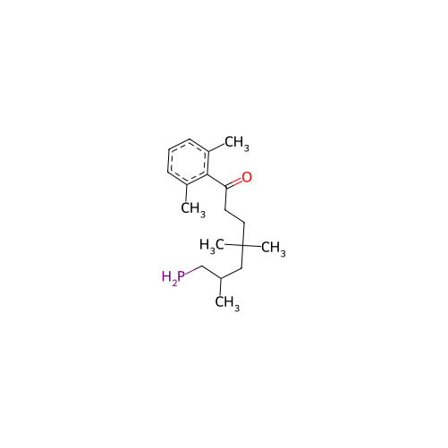 Cc1cccc(C)c1C(=O)CCC(C)(C)CC(C)CP